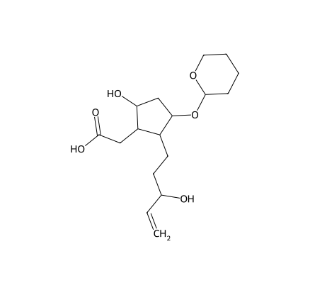 C=CC(O)CCC1C(OC2CCCCO2)CC(O)C1CC(=O)O